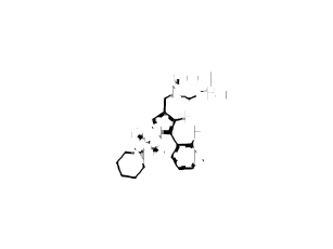 CC(C)(C)CN(Cc1cn(S(=O)(=O)N2CCCCC2)c(-c2cccnc2F)c1F)C(=O)O